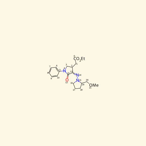 CCOC(=O)CC1CN(c2ccccc2)C(=O)/C1=N\N1CCCC1COC